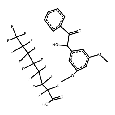 COc1cc(OC)cc(C(O)C(=O)c2ccccc2)c1.O=C(O)C(F)(F)C(F)(F)C(F)(F)C(F)(F)C(F)(F)C(F)(F)C(F)(F)F